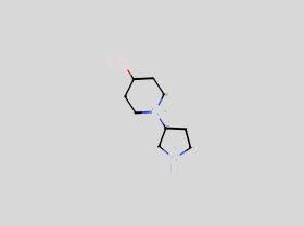 OC1CCN(C2CCNC2)CC1